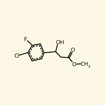 COC(=O)CC(O)c1ccc(Cl)c(F)c1